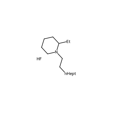 CCCCCCCCCN1CCCCC1CC.F